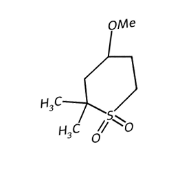 COC1CCS(=O)(=O)C(C)(C)C1